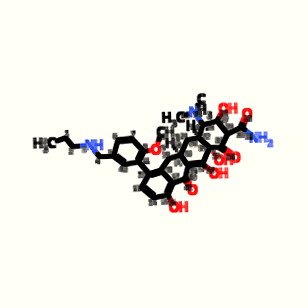 CCCNCc1ccc(OC)c(-c2ccc(O)c3c2C[C@H]2C[C@H]4C(N(C)C)C(O)C(C(N)=O)C(=O)[C@@]4(O)C(O)=C2C3=O)c1